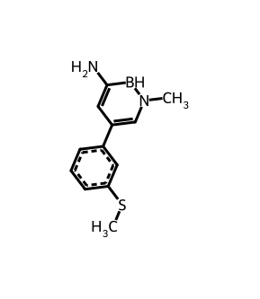 CSc1cccc(C2=CN(C)BC(N)=C2)c1